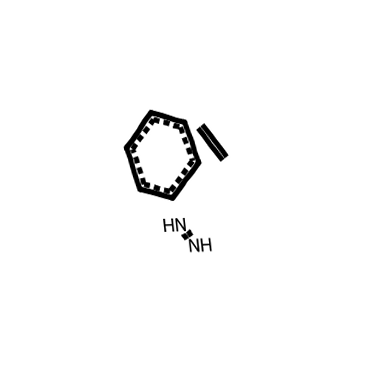 C=C.N=N.c1ccccc1